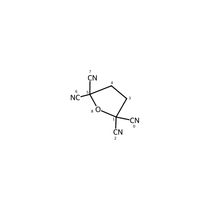 N#CC1(C#N)CCC(C#N)(C#N)O1